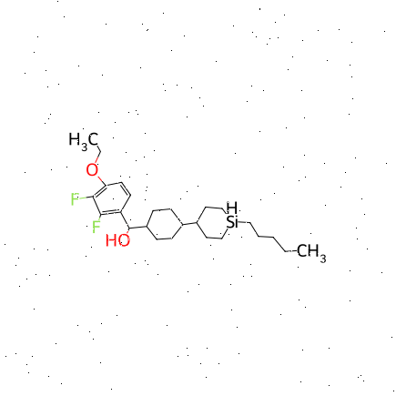 CCCCC[SiH]1CCC(C2CCC(C(O)c3ccc(OCC)c(F)c3F)CC2)CC1